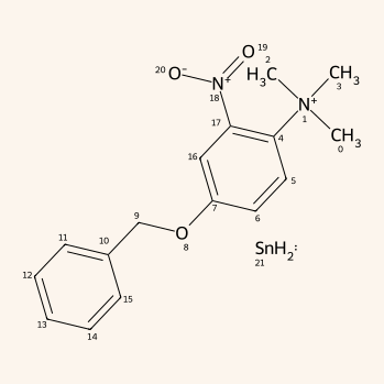 C[N+](C)(C)c1ccc(OCc2ccccc2)cc1[N+](=O)[O-].[SnH2]